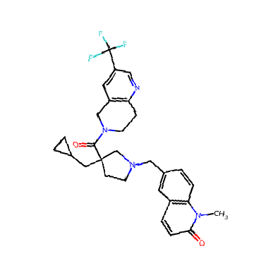 Cn1c(=O)ccc2cc(CN3CCC(CC4CC4)(C(=O)N4CCc5ncc(C(F)(F)F)cc5C4)C3)ccc21